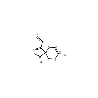 C=C(C)C1(C(=O)C=O)CC=C(C)CC1